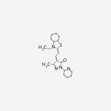 CCN1C(=CC=C2C(=O)N(c3ccccn3)N=C2C)Sc2ccccc21